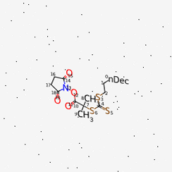 CCCCCCCCCCCCSC(=S)SC(C)(C)C(=O)ON1C(=O)CCC1=O